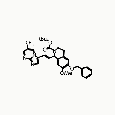 COc1cc2c(cc1OCc1ccccc1)CCN(C(=O)OC(C)(C)C)C2/C=C/c1cnc2ncc(C(F)(F)F)cn12